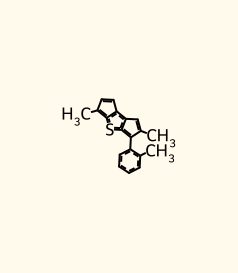 CC1=Cc2c3c(sc2=C1c1ccccc1C)=C(C)C=C3